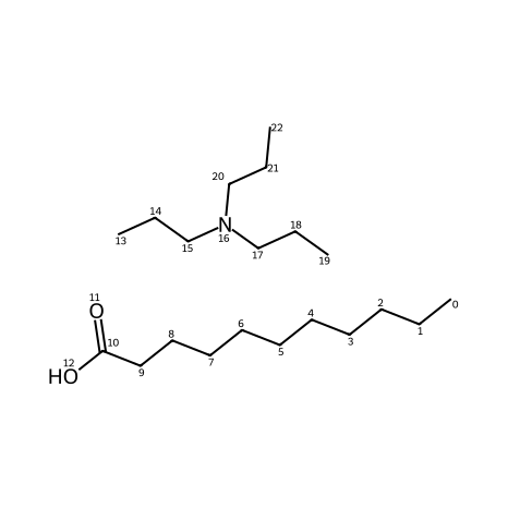 CCCCCCCCCCC(=O)O.CCCN(CCC)CCC